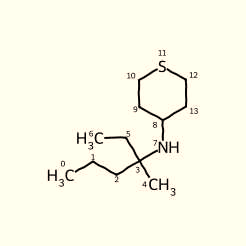 CCCC(C)(CC)NC1CCSCC1